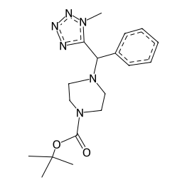 Cn1nnnc1C(c1ccccc1)N1CCN(C(=O)OC(C)(C)C)CC1